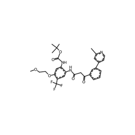 COCCOc1cc(NC(=O)OC(C)(C)C)c(NC(=O)CC(=O)c2cccc(-c3ccnc(C)c3)c2)cc1C(F)(F)F